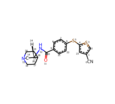 N#Cc1csc(Sc2ccc(C(=O)N[C@H]3CN4CCC3CC4)cc2)c1